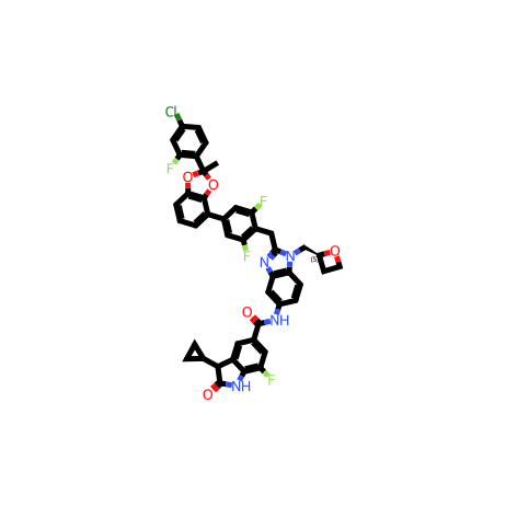 CC1(c2ccc(Cl)cc2F)Oc2cccc(-c3cc(F)c(Cc4nc5cc(NC(=O)c6cc(F)c7c(c6)C(C6CC6)C(=O)N7)ccc5n4C[C@@H]4CCO4)c(F)c3)c2O1